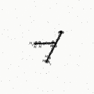 NNC(=O)CCCC(=O)NCCCOCCOCCOCCCNC(=O)CCN(CCCOCCOCCOCCCN1C(=O)C=CC1=O)CCC(=O)NCCCOCCOCCOCCCNC(=O)CCCC(=O)NN